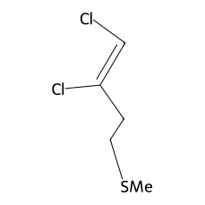 CSCCC(Cl)=CCl